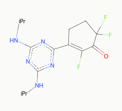 CC(C)Nc1nc(NC(C)C)nc(C2=C(F)C(=O)C(F)(F)CC2)n1